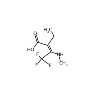 CCC(C(=O)O)=C(NC)C(F)(F)F